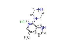 Cl.FC(F)(F)c1cnc(N2CCNCC2)c2[nH]ccc12